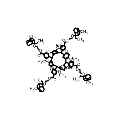 CCC1(OCCOC(=O)c2ccc(C3c4cc(c(OC)cc4O)C(c4ccc(C(=O)OCCOC5(CC)C6CC7CC5CC(C)(C7)C6)cc4)c4cc(c(OC)cc4O)C(c4ccc(C(=O)OCCOC5(CC)C6CC7CC5CC(C)(C7)C6)cc4)c4cc(c(OC)cc4O)C(c4ccc(C(=O)OCCOC5(CC)C6CC7CC5CC(C)(C7)C6)cc4)c4cc3c(OC)cc4O)cc2)C2CC3CC1CC(C)(C3)C2